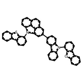 c1ccc2c(c1)oc1c(-n3c4ccccc4c4cc(-c5cc6ccc7cccc8c7c6c(c5)n8-c5cccc6c5sc5ccccc56)ccc43)cccc12